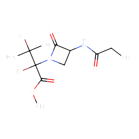 CCC(=O)NC1CN(C(Br)(C(=O)OC)C(C)(C)Br)C1=O